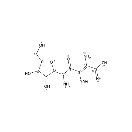 CN/C(C(=O)N(N)C1OC(CO)C(O)C1O)=C(/N)C(=N)C#N